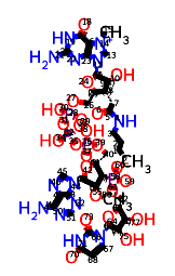 CCCCNC(=O)C[C@H]1[C@@H](O)[C@H](n2c[n+](C)c3c(=O)[nH]c(N)nc32)O[C@@H]1COP(=O)(O)OP(=O)(O)OP(=O)(O)OC[C@H]1O[C@@H](n2cnc3c(N)ncnc32)[C@H](OC)[C@@H]1P(=O)([O-])OC[C@H]1O[C@@H](n2ccc(=O)[nH]c2=O)[C@H](O)[C@@H]1O